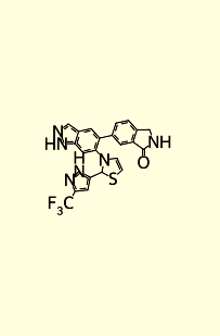 O=C1NCc2ccc(-c3cc4cn[nH]c4cc3N3C=CSC3c3cc(C(F)(F)F)n[nH]3)cc21